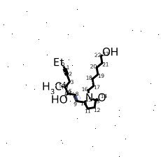 CCC#CC[C@H](C)[C@H](O)/C=C/C1CCC(=O)N1CCCCCCCO